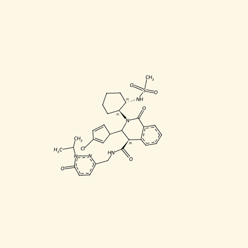 CC(C)n1nc(CNC(=O)[C@@H]2c3ccccc3C(=O)N([C@H]3CCCC[C@@H]3NS(C)(=O)=O)C2C2C=CC(Cl)=C2)ccc1=O